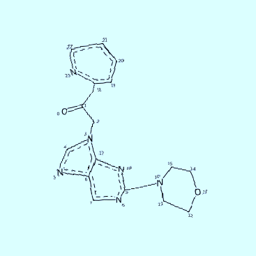 O=C(Cn1cnc2cnc(N3CCOCC3)nc21)c1ccccn1